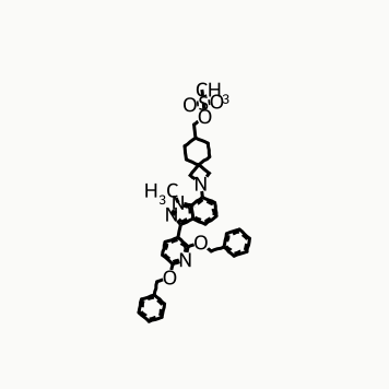 Cn1nc(-c2ccc(OCc3ccccc3)nc2OCc2ccccc2)c2cccc(N3CC4(CCC(COS(C)(=O)=O)CC4)C3)c21